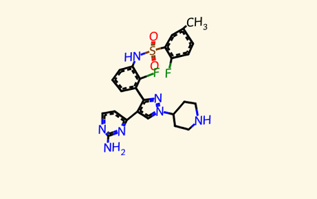 Cc1ccc(F)c(S(=O)(=O)Nc2cccc(-c3nn(C4CCNCC4)cc3-c3ccnc(N)n3)c2F)c1